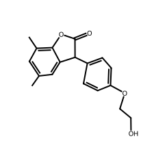 Cc1cc(C)c2c(c1)C(c1ccc(OCCO)cc1)C(=O)O2